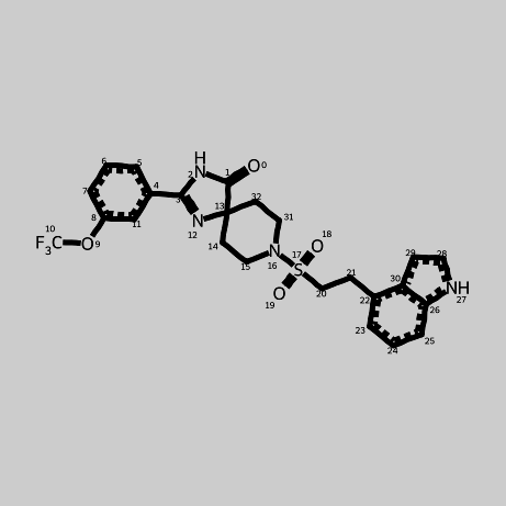 O=C1NC(c2cccc(OC(F)(F)F)c2)=NC12CCN(S(=O)(=O)CCc1cccc3[nH]ccc13)CC2